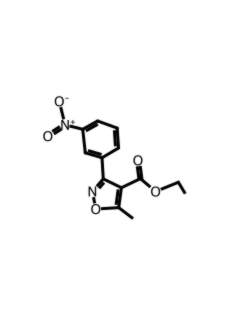 CCOC(=O)c1c(-c2cccc([N+](=O)[O-])c2)noc1C